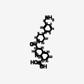 NCc1cccc(C2CCN(C(=O)c3cnc4c(B(O)O)cccc4c3)CC2)c1